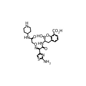 Nc1nc(C(=NOCC(=O)NC2CCNCC2)C(=O)NC2Cc3cccc(C(=O)O)c3OB2O)cs1